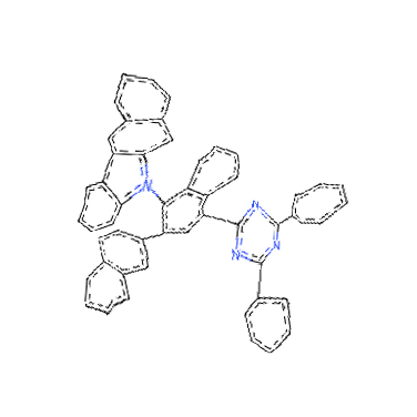 c1ccc(-c2nc(-c3ccccc3)nc(-c3cc(-c4ccc5ccccc5c4)c(-n4c5ccccc5c5cc6ccccc6cc54)c4ccccc34)n2)cc1